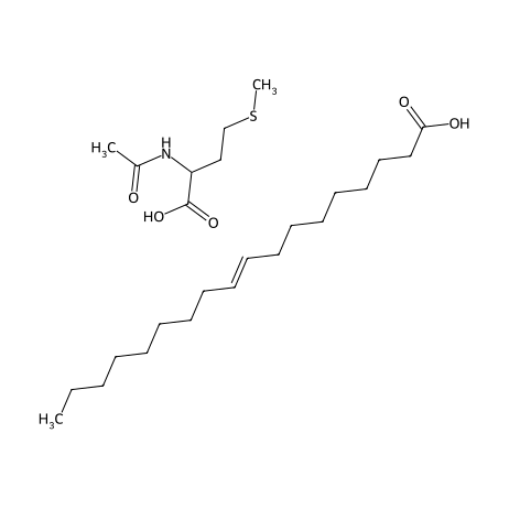 CCCCCCCCC=CCCCCCCCC(=O)O.CSCCC(NC(C)=O)C(=O)O